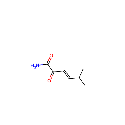 CC(C)/C=C/C(=O)C(N)=O